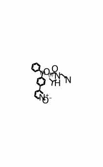 CC(C)C[C@H](O[C@H](c1ccccc1)c1ccc(-c2ccc[n+]([O-])c2)cc1)C(=O)NCC#N